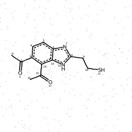 CC(=O)c1ccc2nc(CCS)[nH]c2c1C(C)=O